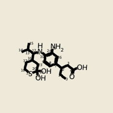 CCC(CC(=O)O)c1ccc(NC(C(C)C)C2CCSC(O)(O)C2)c(N)c1